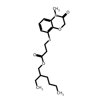 CCCCC(CC)COC(=O)CCSc1cccc2c1OCC(=O)N2C